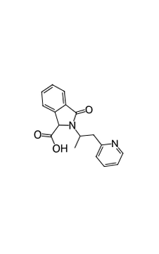 CC(Cc1ccccn1)N1C(=O)c2ccccc2C1C(=O)O